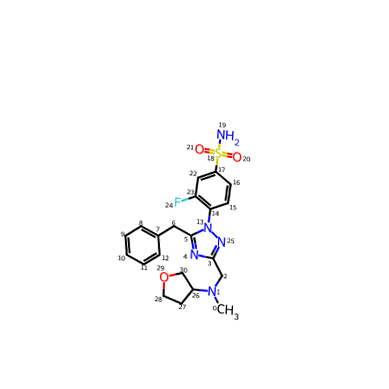 CN(Cc1nc(Cc2ccccc2)n(-c2ccc(S(N)(=O)=O)cc2F)n1)C1CCOC1